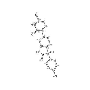 O=C(O)C(Cl)(c1ccc(Cl)cc1)c1ccc(-n2ncc(=O)[nH]c2=O)cc1